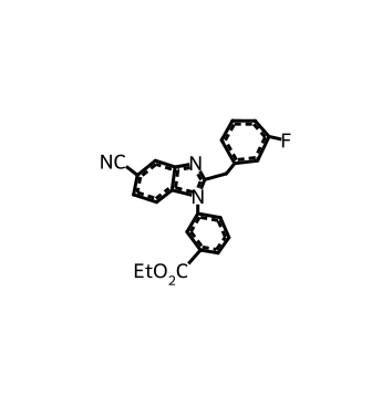 CCOC(=O)c1cccc(-n2c(Cc3cccc(F)c3)nc3cc(C#N)ccc32)c1